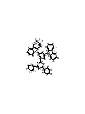 C=C/C=C\c1c(C)c2ccccc2n1-c1cc(-c2nc(-c3ccccc3)nc(-c3ccccc3)n2)cc(-n2c3ccccc3c3ccccc32)c1